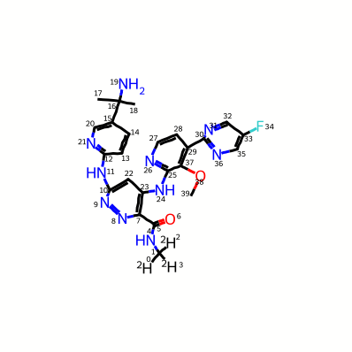 [2H]C([2H])([2H])NC(=O)c1nnc(Nc2ccc(C(C)(C)N)cn2)cc1Nc1nccc(-c2ncc(F)cn2)c1OC